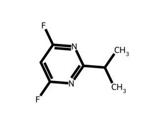 CC(C)c1nc(F)cc(F)n1